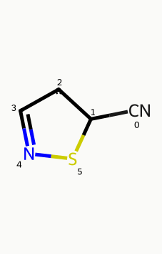 N#CC1[C]C=NS1